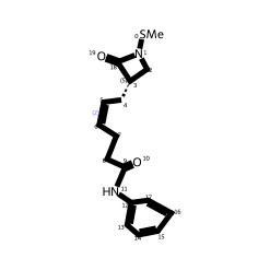 CSN1C[C@H](C/C=C\CCC(=O)Nc2ccccc2)C1=O